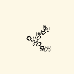 Cn1cc(-c2ccc(N(C(=O)NCc3ccccc3)[C@H]3CC[C@H](Nc4ncc(C#N)c(-c5cnc[nH]5)n4)CC3)cc2)cn1